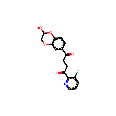 O=C(CCC(=O)c1ncccc1Cl)c1ccc2c(c1)OCC(O)O2